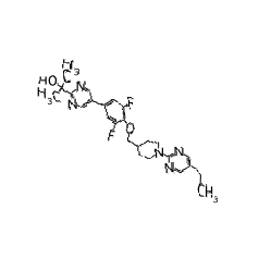 CCc1cnc(N2CCC(COc3c(F)cc(-c4cnc(C(C)(C)O)nc4)cc3F)CC2)nc1